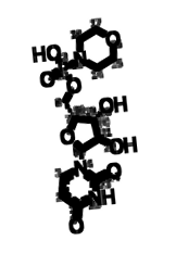 O=c1ccn([C@@H]2O[C@H](COP(=O)(O)N3CCOCC3)[C@H](O)C2O)c(=O)[nH]1